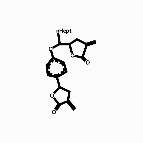 C=C1CC(c2ccc(OC(CCCCCCC)C3CC(=C)C(=O)O3)cc2)OC1=O